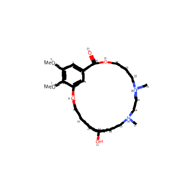 COc1cc2cc(c1OC)OCCCC(O)CCN(C)CCN(C)CCCOC2=O